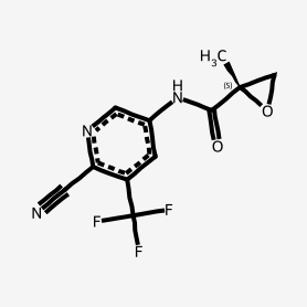 C[C@@]1(C(=O)Nc2cnc(C#N)c(C(F)(F)F)c2)CO1